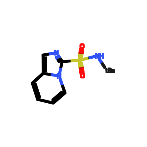 CC(C)(C)NS(=O)(=O)c1ncc2ccccn12